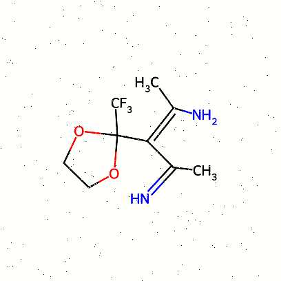 CC(=N)/C(=C(/C)N)C1(C(F)(F)F)OCCO1